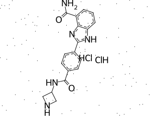 Cl.Cl.NC(=O)c1cccc2[nH]c(-c3ccc(C(=O)NC4CNC4)cc3)nc12